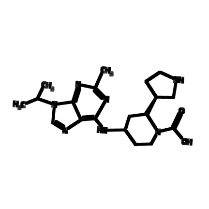 Cc1nc(NC2CCN(C(=O)O)C([C@H]3CCNC3)C2)c2ncn(C(C)C)c2n1